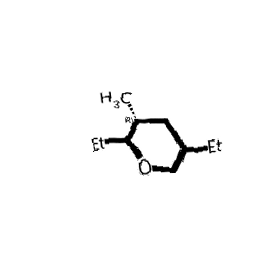 CCC1COC(CC)[C@H](C)C1